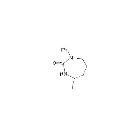 CC1CCCN(C(C)C)C(=O)N1